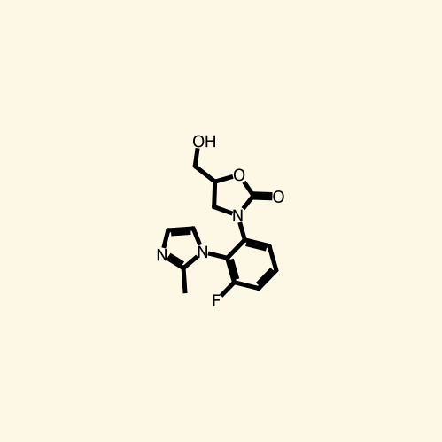 Cc1nccn1-c1c(F)cccc1N1CC(CO)OC1=O